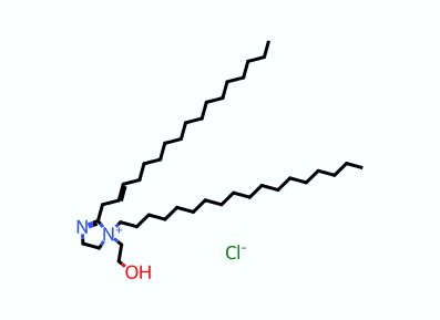 CCCCCCCCCCCCCCC=CCC1=NCC[N+]1(CCO)CCCCCCCCCCCCCCCCCC.[Cl-]